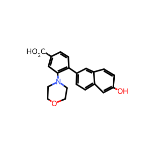 O=C(O)c1ccc(-c2ccc3cc(O)ccc3c2)c(N2CCOCC2)c1